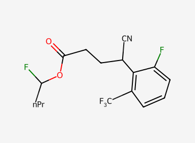 CCCC(F)OC(=O)CCC(C#N)c1c(F)cccc1C(F)(F)F